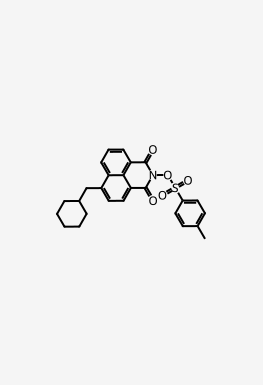 Cc1ccc(S(=O)(=O)ON2C(=O)c3cccc4c(CC5CCCCC5)ccc(c34)C2=O)cc1